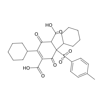 Cc1ccc(S(=O)(=O)C2(C3CCCCC3)C(=O)C(C(=O)O)=C(C3CCCCC3)C(=O)C2C(=O)O)cc1